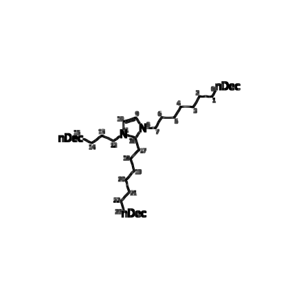 CCCCCCCCCCCCCCCCCN1C=CN(CCCCCCCCCCCCC)C1CCCCCCCCCCCCCCCC